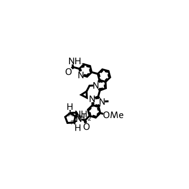 COc1cc(C(=O)N2C[C@H]3CC[C@@H]2[C@@H]3N)cc2nc(-c3cc4cccc(-c5ccc(C(N)=O)nc5)c4n3CC3CC3)n(C)c12